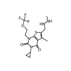 CNNCc1sc2c(c1C)c(=O)n(C1CC1)c(=O)n2CCOC(F)(F)F